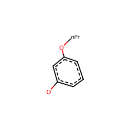 CCCOc1cccc([O])c1